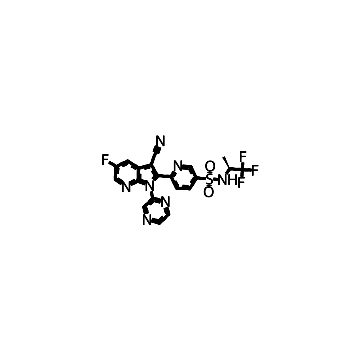 C[C@H](NS(=O)(=O)c1ccc(-c2c(C#N)c3cc(F)cnc3n2-c2cnccn2)nc1)C(F)(F)F